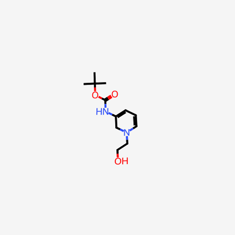 CC(C)(C)OC(=O)NC1=CC=CN(CCO)C1